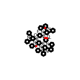 Fc1cccc(F)c1N1c2cc3c(cc2B2c4ccccc4Oc4c2c1c1c2ccccc2n2c5ccccc5c4c12)B1c2cc4c(cc2N(c2c(F)cccc2F)c2c1c(c1c5ccccc5n5c6ccccc6c2c15)O3)N(c1c(F)cccc1F)c1c2c(c3c5ccccc5n5c6ccccc6c1c35)N(c1ccccc1)c1ccccc1B42